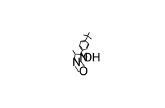 CC(CN1CCOCC1)C(=NO)c1ccc(C(C)(C)C)cc1